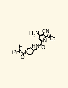 CCOc1nc(C(=O)NCC2CCN(C(=O)NC(C)C)CC2)cc(N)c1C#N